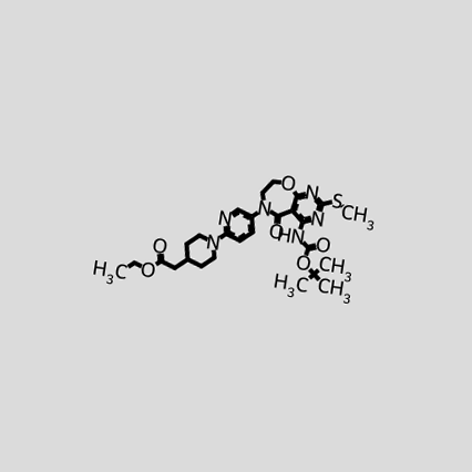 CCOC(=O)CC1CCN(c2ccc(N3CCOc4nc(SC)nc(NC(=O)OC(C)(C)C)c4C3=O)cn2)CC1